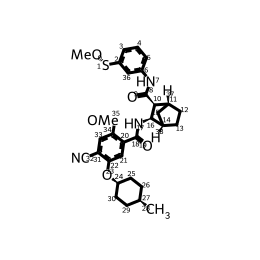 COSc1cccc(NC(=O)[C@H]2[C@@H]3CC[C@@H](C3)[C@H]2NC(=O)c2cc(O[C@H]3CC[C@@H](C)CC3)c(C#N)cc2OC)c1